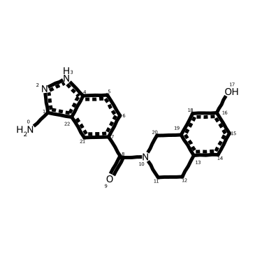 Nc1n[nH]c2ccc(C(=O)N3CCc4ccc(O)cc4C3)cc12